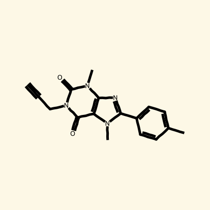 C#CCn1c(=O)c2c(nc(-c3ccc(C)cc3)n2C)n(C)c1=O